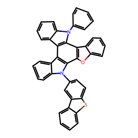 c1ccc(-n2c3ccccc3c3c4c5ccccc5n(-c5ccc6sc7ccccc7c6c5)c4c4oc5ccccc5c4c32)cc1